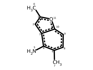 Cc1cc2c(N)c(C)ccc2o1